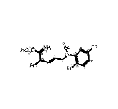 CC(=O)N(CC=CC(C(=N)C(=O)O)C(C)C)c1cc(F)ccc1Br